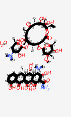 CC[C@H]1OC(=O)[C@H](C)[C@@H](O[C@H]2C[C@@](C)(OC)[C@@H](O)[C@H](C)O2)[C@H](C)[C@@H](O[C@@H]2O[C@H](C)C[C@H](N(C)C)[C@H]2O)[C@](C)(O)C[C@@H](C)C(=O)[C@H](C)[C@@H](O)[C@]1(C)O.C[C@H]1c2cccc(O)c2C(=O)C2=C(O)[C@]3(O)C(=O)C(C(N)=O)=C(O)[C@@H](N(C)C)[C@@H]3[C@@H](O)[C@@H]21.O